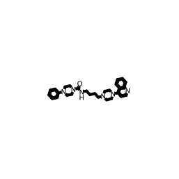 O=C(NCCCCN1CCN(c2ccnc3ccccc23)CC1)N1CCN(c2ccccc2)CC1